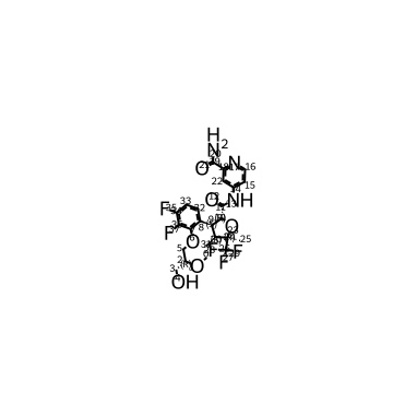 CO[C@H](CO)COc1c([C@H]2[C@H](C(=O)Nc3ccnc(C(N)=O)c3)O[C@@](C)(C(F)(F)F)[C@H]2C)ccc(F)c1F